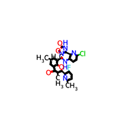 Cc1cc([C@@H](C)Nc2ccc(Cl)nc2-c2noc(=O)[nH]2)c2oc(-c3nc(C)ccc3F)c(C)c(=O)c2c1